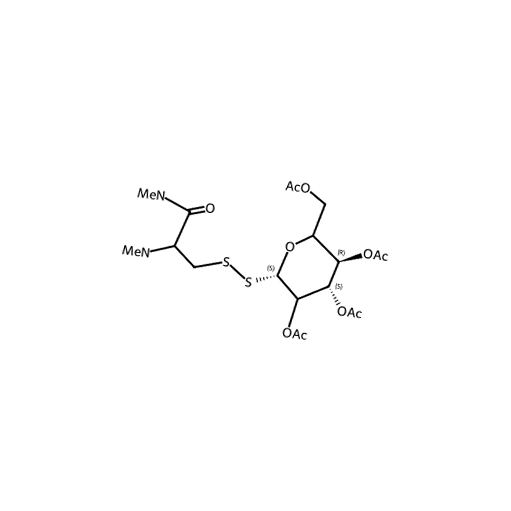 CNC(=O)C(CSS[C@@H]1OC(COC(C)=O)[C@@H](OC(C)=O)[C@H](OC(C)=O)C1OC(C)=O)NC